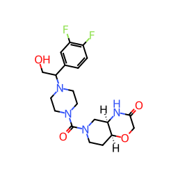 O=C1CO[C@H]2CCN(C(=O)N3CCN(C(CO)c4ccc(F)c(F)c4)CC3)C[C@H]2N1